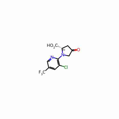 O=C1C[C@@H](C(=O)O)N(c2ncc(C(F)(F)F)cc2Cl)C1